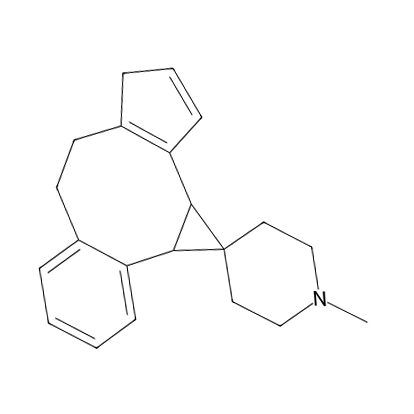 CN1CCC2(CC1)C1C3=C(CC=C3)CCc3ccccc3C12